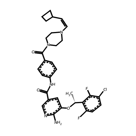 C[C@@H](Oc1cc(C(=O)Nc2ccc(C(=O)N3CCN(/C=C\C4CCC4)CC3)cc2)cnc1N)c1c(F)ccc(Cl)c1F